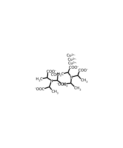 CC(C(=O)[O-])N(C(C)C(=O)[O-])C(C)C(=O)[O-].CC(C(=O)[O-])N(C(C)C(=O)[O-])C(C)C(=O)[O-].[Cu+2].[Cu+2].[Cu+2]